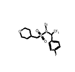 CCN(C(c1ccc(F)cc1)C(F)(F)F)S(=O)(=O)CC1CCOCC1